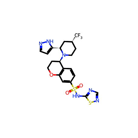 O=S(=O)(Nc1ncns1)c1ccc2c(c1)OCC[C@H]2N1CC[C@@H](C(F)(F)F)C[C@H]1c1ccn[nH]1